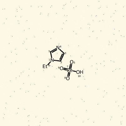 CCn1ccnc1.[O]=[Re](=[O])(=[O])[OH]